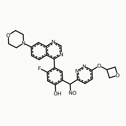 O=NC(c1ccc(OC2COC2)nn1)c1cc(-c2ncnc3cc(N4CCOCC4)ccc23)c(F)cc1O